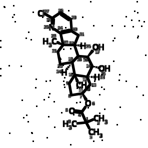 CC(C)(C)C(=O)O[C@H]1CC[C@@]2(C)[C@H](C1)[C@@H](O)[C@H](O)C1[C@@H]2CC[C@]2(C)c3nc(Cl)ccc3C[C@@H]12